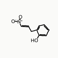 O=[N+]([O-])C=CCc1ccccc1O